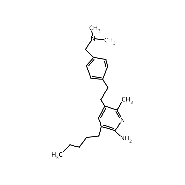 CCCCCc1cc(CCc2ccc(CN(C)C)cc2)c(C)nc1N